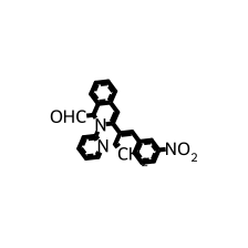 C=CC(=Cc1cccc([N+](=O)[O-])c1)C1=Cc2ccccc2C(C=O)N1c1ccccn1